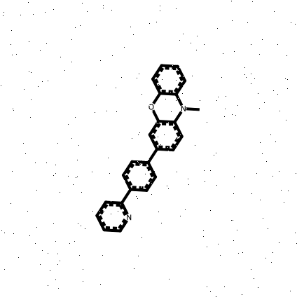 CN1c2ccccc2Oc2cc(-c3ccc(-c4ccccn4)cc3)ccc21